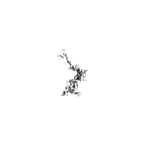 COCCN(CCNC(=O)CCNC(=O)C(C)(C)NC(=O)C(C)(C)NC(=O)[C@H](CC(C)C)NC(=O)[C@H](CC(C)C)NC(=O)C(C)(C)NC(=O)[C@H](CC(C)C)NC(=O)[C@H](CCC1CCCCC1)N(C=O)[C@@H]1CCCN1C(=O)c1coc(C)n1)CCOC